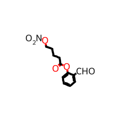 O=Cc1ccccc1OC(=O)CCCCO[N+](=O)[O-]